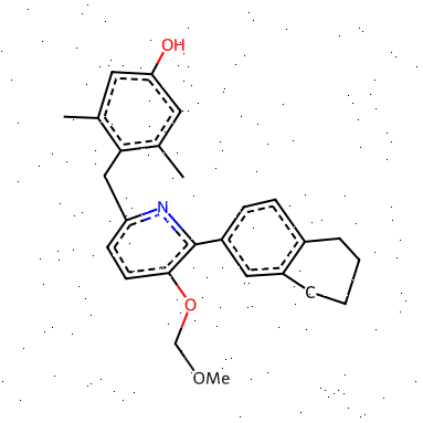 COCOc1ccc(Cc2c(C)cc(O)cc2C)nc1-c1ccc2c(c1)CCCC2